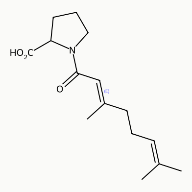 CC(C)=CCC/C(C)=C/C(=O)N1CCCC1C(=O)O